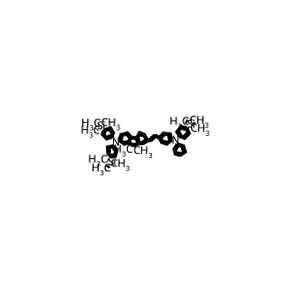 CC1(C)c2cc(/C=C/c3ccc(N(c4ccccc4)c4ccc([Si](C)(C)C)cc4)cc3)ccc2-c2ccc(N(c3ccc([Si](C)(C)C)cc3)c3ccc([Si](C)(C)C)cc3)cc21